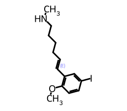 CNCCCC/C=C/c1cc(I)ccc1OC